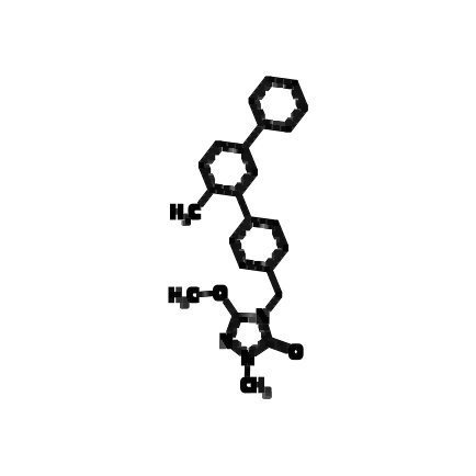 COc1nn(C)c(=O)n1Cc1ccc(-c2cc(-c3ccccc3)ccc2C)cc1